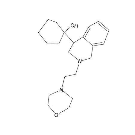 OC1(C2CN(CCN3CCOCC3)Cc3ccccc32)CCCCC1